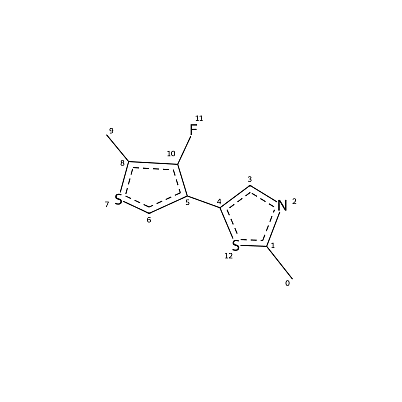 Cc1ncc(-c2csc(C)c2F)s1